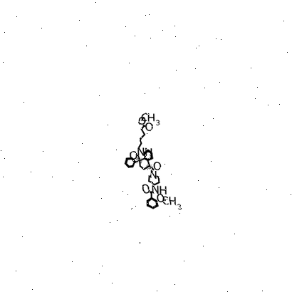 COC(=O)CCCCCNC(=O)[C@@]1(c2ccccc2)CC[C@H](C(=O)N2CCC(NC(=O)c3ccccc3OC)CC2)c2ccccc21